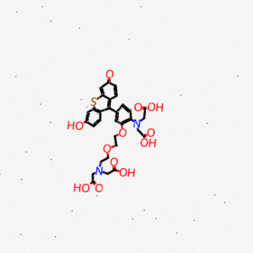 O=C(O)CN(CCOCCOc1cc(-c2c3ccc(=O)cc-3sc3cc(O)ccc23)ccc1N(CC(=O)O)CC(=O)O)CC(=O)O